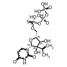 C=C(C)[C@@]1(O)[C@H](O)[C@@H](CO[P@@](O)(=S)OP(=O)(O)OP(=O)(O)O)O[C@H]1n1ccc(=O)[nH]c1=O